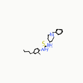 CCCCc1ccc(NC(=S)NC2CCN(Cc3ccccc3)CC2)c(C)c1